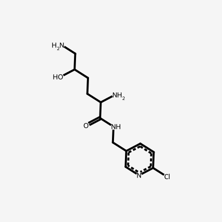 NCC(O)CCC(N)C(=O)NCc1ccc(Cl)nc1